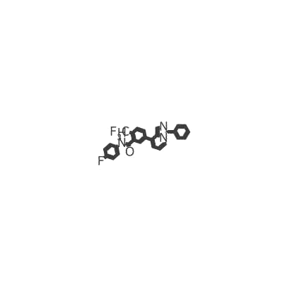 O=C(Nc1ccc(F)cc1)c1cc(-c2cccn3c(-c4ccccc4)ncc23)ccc1C(F)(F)F